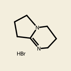 Br.C1CN=C2CCCN2C1